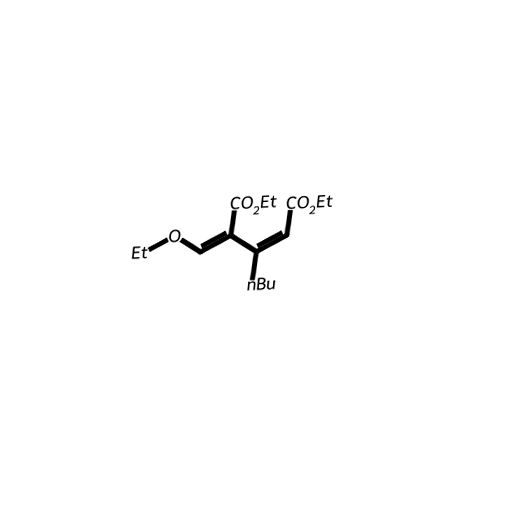 CCCCC(=CC(=O)OCC)C(=COCC)C(=O)OCC